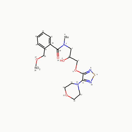 CC(C)(C)N(CC(O)COc1nsnc1N1CCOCC1)C(=O)c1ccccc1CO[N+](=O)[O-]